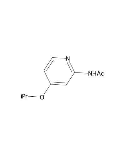 CC(=O)Nc1cc(OC(C)C)ccn1